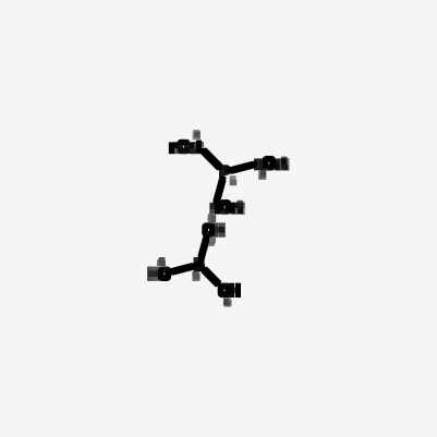 CCCCCCCCP(CCCCCCCC)CCCCCCCC.OB(O)O